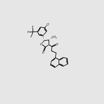 C[C@H]1[C@@H](c2cc(Cl)cc(C(F)(F)F)c2)OC(=O)N1C(=O)CCc1cccc2ccccc12